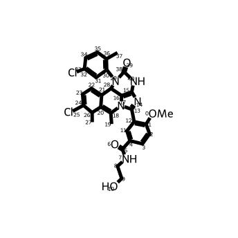 COc1ccc(C(=O)NCCO)cc1-c1nc2c3n1C(C)=C1C(=CC=C(Cl)C1C)C3N(c1cc(Cl)ccc1C)C(=O)N2